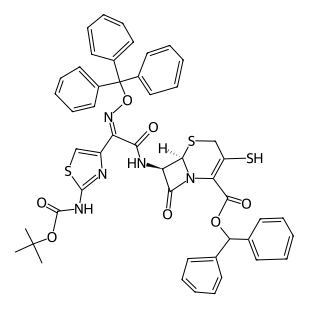 CC(C)(C)OC(=O)Nc1nc(/C(=N/OC(c2ccccc2)(c2ccccc2)c2ccccc2)C(=O)N[C@@H]2C(=O)N3C(C(=O)OC(c4ccccc4)c4ccccc4)=C(S)CS[C@H]23)cs1